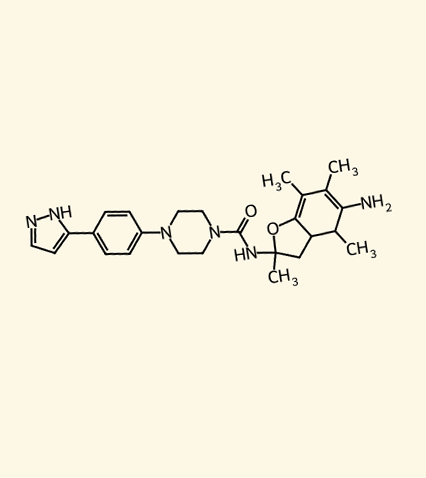 CC1=C(N)C(C)C2CC(C)(NC(=O)N3CCN(c4ccc(-c5ccn[nH]5)cc4)CC3)OC2=C1C